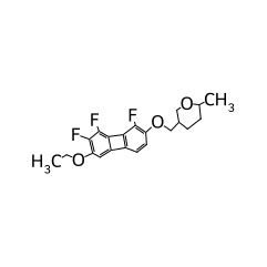 CCOc1cc2c(c(F)c1F)-c1c-2ccc(OCC2CCC(C)OC2)c1F